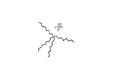 CCCCCCCC[N+](CCCCCCCC)(CCCCCCCC)CCCCCCCC.[O-][Cl+3]([O-])([O-])O